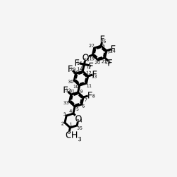 CC1CCC(c2cc(F)c(-c3cc(F)c(C(F)(F)Oc4cc(F)c(F)c(F)c4)c(F)c3)c(F)c2)OC1